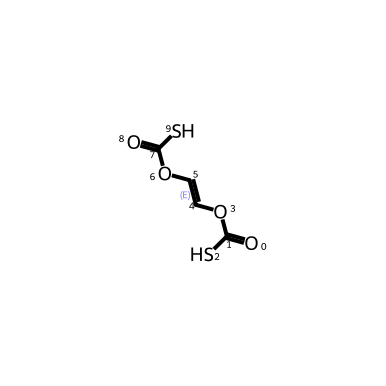 O=C(S)O/C=C/OC(=O)S